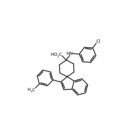 Cc1cccc(C2=Cc3ccccc3C23CCC(Nc2cccc(Cl)c2)(C(=O)O)CC3)c1